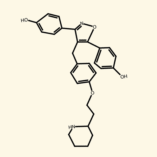 Oc1ccc(-c2noc(-c3ccc(O)cc3)c2Cc2ccc(OCCC3CCCCN3)cc2)cc1